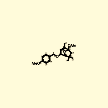 COc1ccc(COC2C=C(C)C3(OC)CC(C)(C)C2O3)cc1